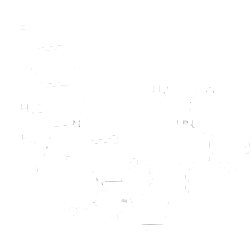 CC(=O)Nc1ccccc1-c1ccc2c(c1)CC[C@@]21OC(=O)N(CC(=O)N(Cc2ccc(F)cc2)C(C)C(F)(F)F)C1=O